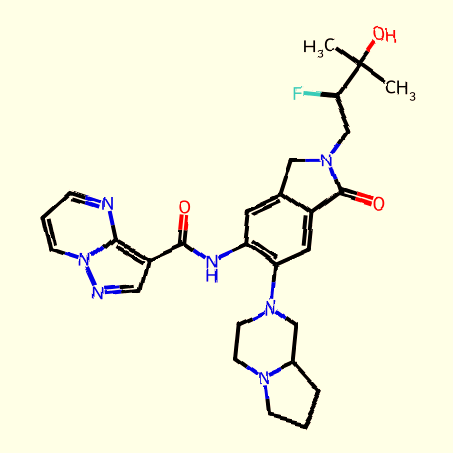 CC(C)(O)C(F)CN1Cc2cc(NC(=O)c3cnn4cccnc34)c(N3CCN4CCCC4C3)cc2C1=O